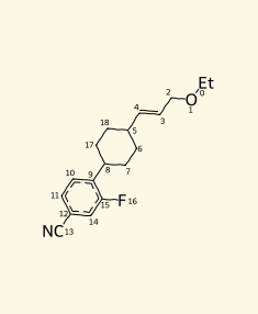 CCOCC=CC1CCC(c2ccc(C#N)cc2F)CC1